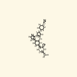 N#Cc1ccc(-c2cc3n(c2)Cc2cc(N4CCN(C5CC5)CC4=O)ccc2-n2ccnc2-3)cc1